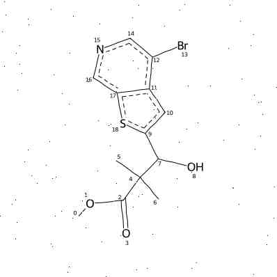 COC(=O)C(C)(C)C(O)c1cc2c(Br)cncc2s1